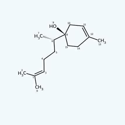 CC(C)=CCC[C@H](C)[C@]1(O)CC=C(C)CC1